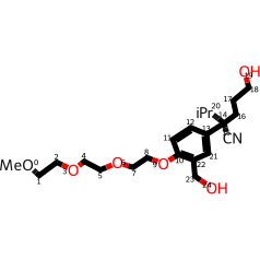 COCCOCCOCCOc1ccc(C(C#N)(CCCO)C(C)C)cc1CO